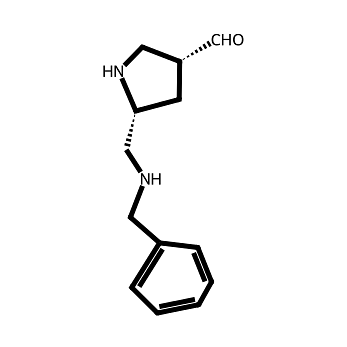 O=C[C@H]1CN[C@@H](CNCc2ccccc2)C1